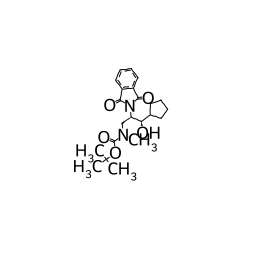 CN(C[C@H]([C@H](O)C1CCCC1)N1C(=O)c2ccccc2C1=O)C(=O)OC(C)(C)C